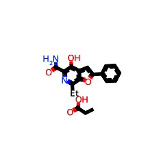 CCC(=O)O.CCc1nc(C(N)=O)c(O)c2cc(-c3ccccc3)oc12